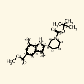 COC(=O)c1cc(Br)c2[nH]c([C@H]3CCCN(C(=O)OC(C)(C)C)C3)c(F)c2c1